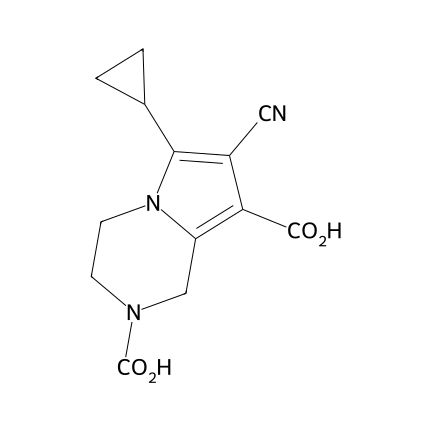 N#Cc1c(C(=O)O)c2n(c1C1CC1)CCN(C(=O)O)C2